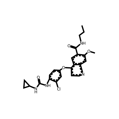 CCCNC(=O)c1cc2c(Oc3ccc(NC(=O)NC4CC4)c(Cl)c3)ccnc2cc1OC